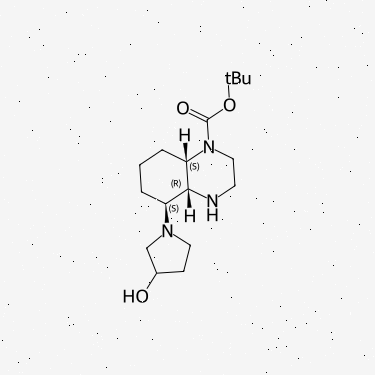 CC(C)(C)OC(=O)N1CCN[C@@H]2[C@@H](N3CCC(O)C3)CCC[C@@H]21